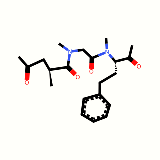 CC(=O)C[C@H](C)C(=O)N(C)CC(=O)N(C)[C@@H](CCc1ccccc1)C(C)=O